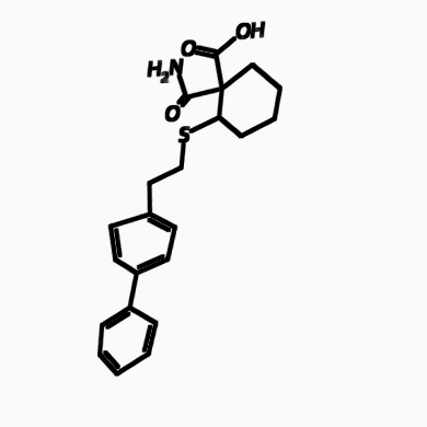 NC(=O)C1(C(=O)O)CCCCC1SCCc1ccc(-c2ccccc2)cc1